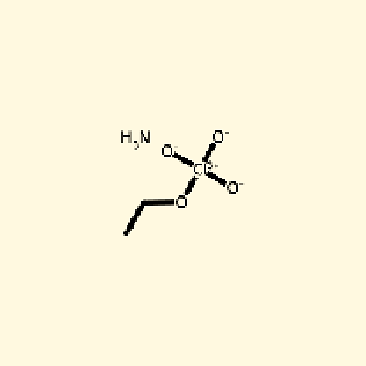 CCO[Cl+3]([O-])([O-])[O-].N